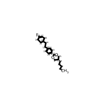 CCCCC[C@H]1CO[C@H](c2ccc(CCC3CC=C(F)CC3)cc2)OC1